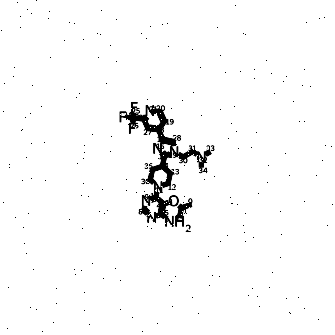 CC(C)Oc1c(N)ncnc1N1CCC(c2nc(-c3ccnc(C(F)(F)F)c3)cn2CCN(C)C)CC1